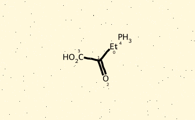 CCC(=O)C(=O)O.P